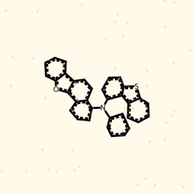 c1ccc(N(c2cccc3c2ccc2c4ccccc4oc32)c2cccc3sc4ccccc4c23)cc1